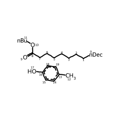 CCCCCCCCCCCCCCCCCC(=O)OCCCC.Cc1ccc(O)cc1